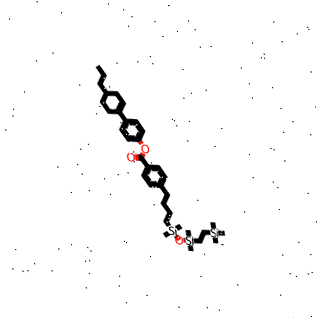 CCCC1CC=C(c2ccc(OC(=O)c3ccc(CCCC[Si](C)(C)O[Si](C)(C)CC[Si](C)(C)C)cc3)cc2)CC1